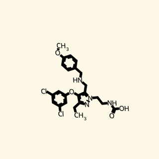 CCc1nn(CCNC(=O)O)c(CNCc2ccc(OC)cc2)c1Oc1cc(Cl)cc(Cl)c1